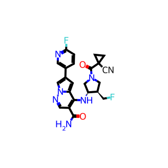 N#CC1(C(=O)N2C[C@@H](CF)[C@H](Nc3c(C(N)=O)cnn4cc(-c5ccc(F)nc5)cc34)C2)CC1